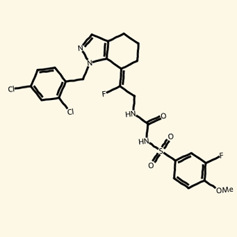 COc1ccc(S(=O)(=O)NC(=O)NC/C(F)=C2\CCCc3cnn(Cc4ccc(Cl)cc4Cl)c32)cc1F